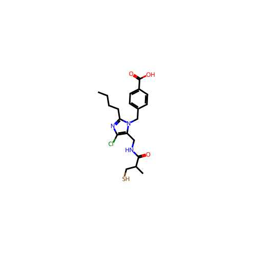 CCCCc1nc(Cl)c(CNC(=O)C(C)CS)n1Cc1ccc(C(=O)O)cc1